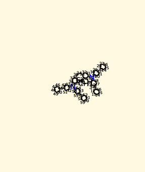 C[Si]1(C)c2cc(N(c3ccc(-c4ccccc4)cc3)c3ccc(-c4ccccc4)cc3)ccc2C=Cc2ccc(N(c3ccc(-c4ccccc4)cc3)c3ccc(-c4ccccc4)cc3)cc21